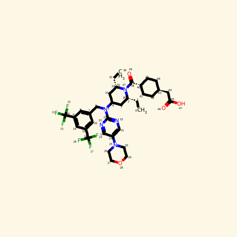 CC[C@@H]1CC(N(Cc2cc(C(F)(F)F)cc(C(F)(F)F)c2)c2ncc(N3CCOCC3)cn2)C[C@H](CC)N1C(=O)[C@H]1CC[C@H](CC(=O)O)CC1